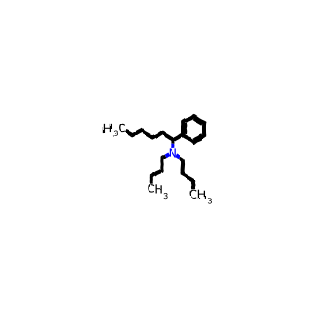 CCCCCC(c1ccccc1)N(CCCC)CCCC